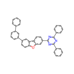 c1ccc(-c2cccc(-c3ccc4oc5cc(-c6nc(-c7ccccc7)nc(-c7ccccc7)n6)ccc5c4c3)c2)cc1